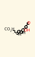 C[C@H](CCC(=O)O)[C@H]1CC[C@H]2[C@@H]3CC[C@@H]4C[C@](O)(c5ccc(C6=CCOC6)cc5)CC[C@]4(C)[C@H]3CC[C@]12C